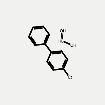 CCc1ccc(-c2ccccc2)cc1.OBO